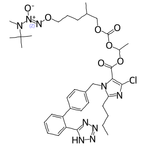 CCCCc1nc(Cl)c(C(=O)OC(C)OC(=O)OCC(C)CCCO/N=[N+](\[O-])N(C)C(C)(C)C)n1Cc1ccc(-c2ccccc2-c2nnn[nH]2)cc1